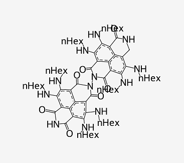 CCCCCCNc1c(NCCCCCC)c2c3c(c(NCCCCCC)c(NCCCCCC)c4c3c1CNC4=O)C(=O)N(N1C(=O)c3c(NCCCCCC)c(NCCCCCC)c4c5c(c(NCCCCCC)c(NCCCCCC)c(c35)C1=O)C(=O)NC4=O)C2=O